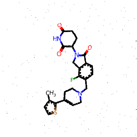 Cc1ccsc1C1=CCN(Cc2ccc3c(c2F)CN(C2CCC(=O)NC2=O)C3=O)CC1